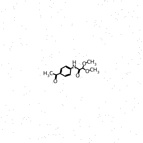 COC(OC)C(=O)Nc1ccc(C(C)=O)cc1